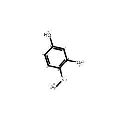 CC(C)Sc1ccc(O)cc1O